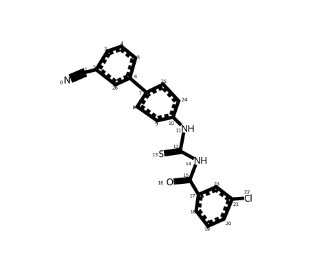 N#Cc1cccc(-c2ccc(NC(=S)NC(=O)c3cccc(Cl)c3)cc2)c1